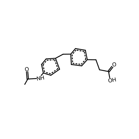 CC(=O)Nc1ccc(Cc2ccc(CCC(=O)O)cc2)cc1